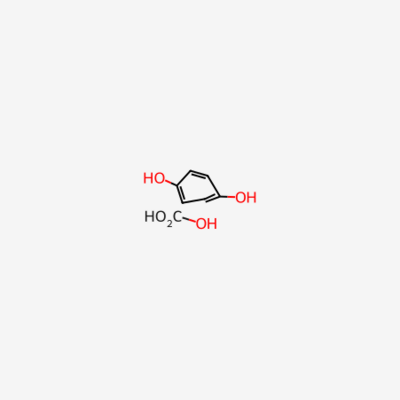 O=C(O)O.Oc1ccc(O)cc1